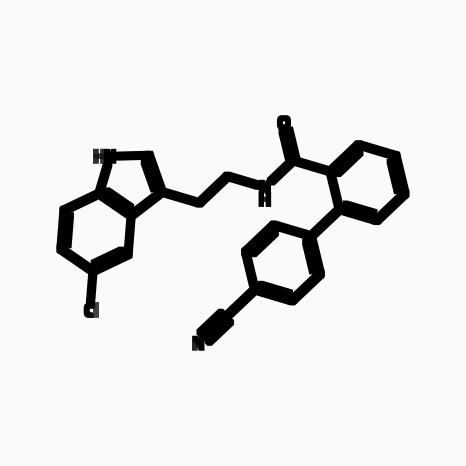 N#Cc1ccc(-c2ccccc2C(=O)NCCc2c[nH]c3ccc(Cl)cc23)cc1